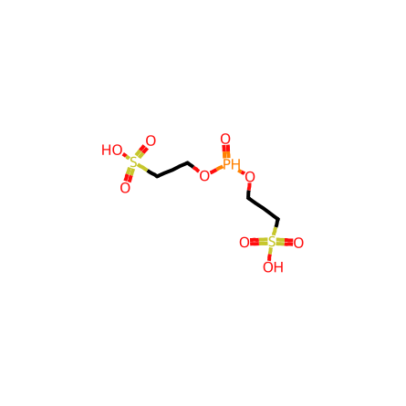 O=[PH](OCCS(=O)(=O)O)OCCS(=O)(=O)O